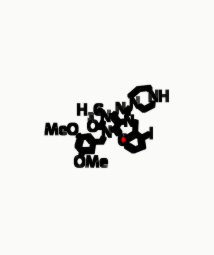 COc1cc(Cn2c(=O)c3c(nc(N4CCCNCC4)n3Cc3ccccc3I)n(C)c2=O)cc(OC)c1